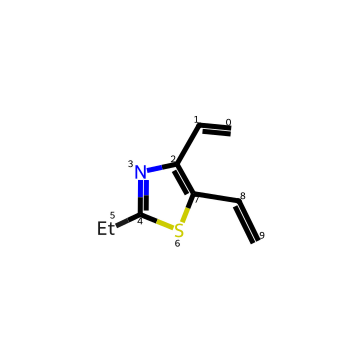 C=Cc1nc(CC)sc1C=C